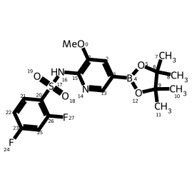 COc1cc(B2OC(C)(C)C(C)(C)O2)cnc1NS(=O)(=O)c1ccc(F)cc1F